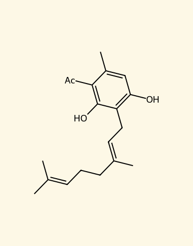 CC(=O)c1c(C)cc(O)c(C/C=C(\C)CCC=C(C)C)c1O